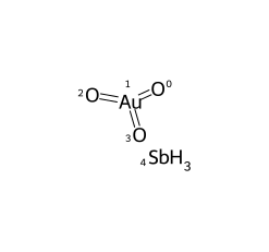 [O]=[Au](=[O])=[O].[SbH3]